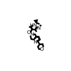 C=N/C(NC1(C)CC1)=C(\C)C(C(=O)N1CCc2nc(C3CCOCC3)ccc2C1)=C(C)C